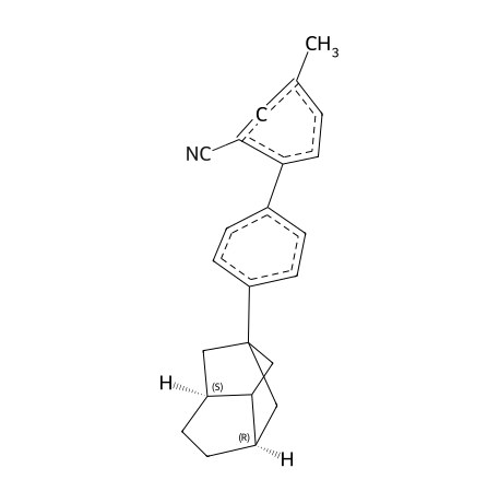 Cc1ccc(-c2ccc(C34CC5[C@H](CC[C@H]5C3)C4)cc2)c(C#N)c1